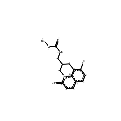 CC(C)(C)OC(=O)NCC1Cc2c(F)ccc3ccc(=O)n(c23)C1